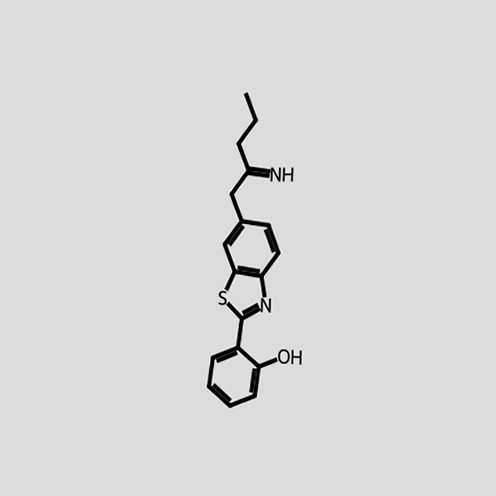 CCCC(=N)Cc1ccc2nc(-c3ccccc3O)sc2c1